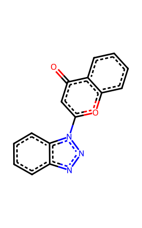 O=c1cc(-n2nnc3ccccc32)oc2ccccc12